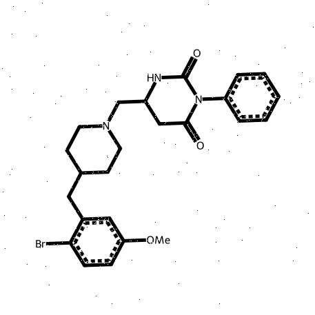 COc1ccc(Br)c(CC2CCN(CC3CC(=O)N(c4ccccc4)C(=O)N3)CC2)c1